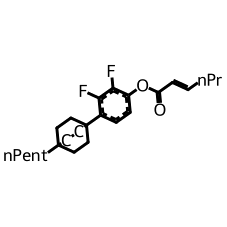 CCC/C=C/C(=O)Oc1ccc(C23CCC(CCCCC)(CC2)CC3)c(F)c1F